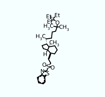 CC[Si](CC)(CC)OC(C)(C)CCCC(C)[C@H]1CC[C@H]2C(=CCS(=O)(=O)c3nc4ccccc4s3)CCC[C@]12C